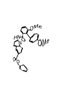 COc1ccc(-c2c(OC)cccc2C(=O)Nc2ccc3cc(C(=O)OCc4ccccc4)ccc3n2)cc1